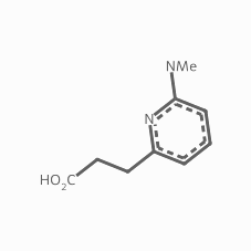 CNc1cccc(CCC(=O)O)n1